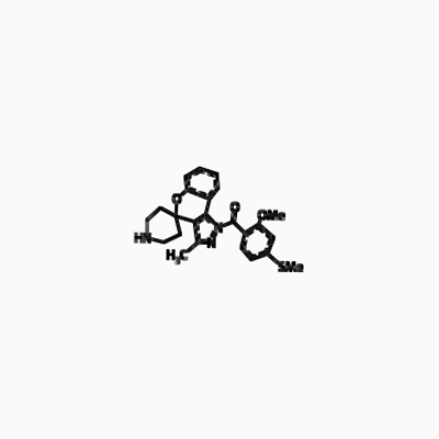 COc1cc(SC)ccc1C(=O)n1nc(C)c2c1-c1ccccc1OC21CCNCC1